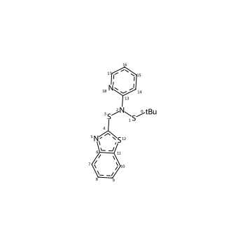 CC(C)(C)SN(Sc1nc2ccccc2s1)c1ccccn1